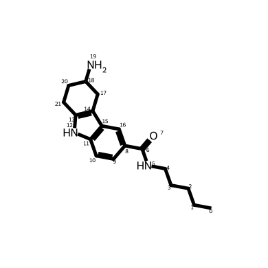 CCCCCNC(=O)c1ccc2[nH]c3c(c2c1)CC(N)CC3